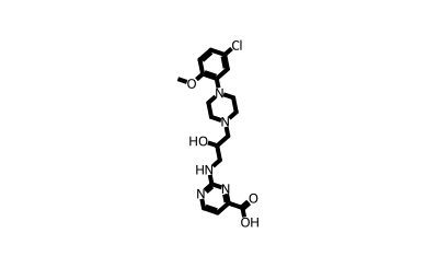 COc1ccc(Cl)cc1N1CCN(CC(O)CNc2nccc(C(=O)O)n2)CC1